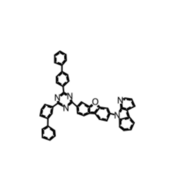 c1ccc(-c2ccc(-c3nc(-c4cccc(-c5ccccc5)c4)nc(-c4ccc5c(c4)oc4cc(-n6c7ccccc7c7cccnc76)ccc45)n3)cc2)cc1